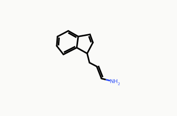 NC=CCC1C=Cc2ccccc21